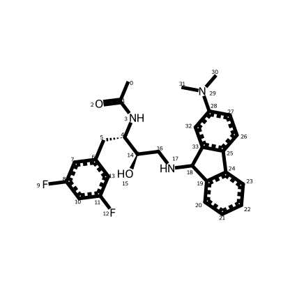 CC(=O)N[C@@H](Cc1cc(F)cc(F)c1)[C@H](O)CNC1c2ccccc2-c2ccc(N(C)C)cc21